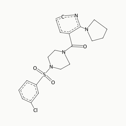 O=C(c1cccnc1N1CCCC1)N1CCN(S(=O)(=O)c2cccc(Cl)c2)CC1